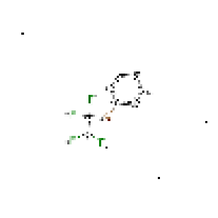 FC(F)C(F)(F)Sc1ccccc1